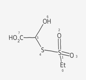 CCS(=O)(=O)SC(O)C(=O)O